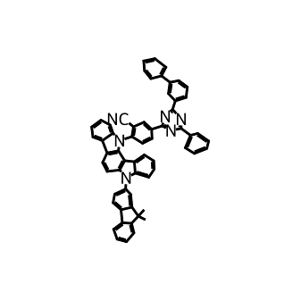 CC1(C)c2ccccc2-c2ccc(-n3c4ccccc4c4c3ccc3c5ccccc5n(-c5ccc(-c6nc(-c7ccccc7)nc(-c7cccc(-c8ccccc8)c7)n6)cc5C#N)c34)cc21